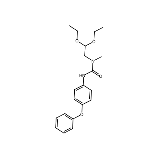 CCOC(CN(C)C(=O)Nc1ccc(Oc2ccccc2)cc1)OCC